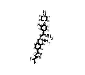 N/C(=C\N(N)Cc1ccc(-c2nnc(C(F)F)o2)cc1F)c1ccc(N2CCNCC2)c(F)c1